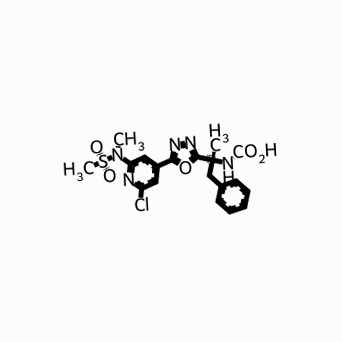 CN(c1cc(-c2nnc([C@@](C)(Cc3ccccc3)NC(=O)O)o2)cc(Cl)n1)S(C)(=O)=O